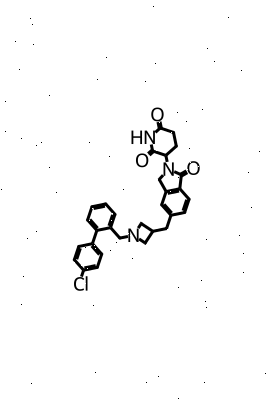 O=C1CCC(N2Cc3cc(CC4CN(Cc5ccccc5-c5ccc(Cl)cc5)C4)ccc3C2=O)C(=O)N1